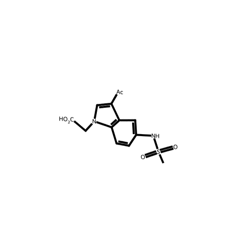 CC(=O)c1cn(CC(=O)O)c2ccc(NS(C)(=O)=O)cc12